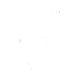 CCN1CCN(Cc2ccc(NC(=O)c3cccc(C#C[Si](C)(C)C)c3)cc2C(F)(F)F)CC1